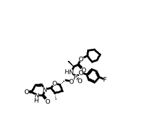 C[C@H](NP(=O)(OC[C@@H]1C[C@H](C)C(n2ccc(=O)[nH]c2=O)O1)Oc1ccc(F)cc1)C(=O)OC1CCCCC1